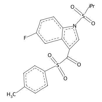 Cc1ccc(S(=O)(=O)C(=O)c2cn(S(=O)(=O)C(C)C)c3ccc(F)cc23)cc1